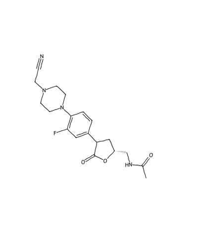 CC(=O)NC[C@H]1CC(c2ccc(N3CCN(CC#N)CC3)c(F)c2)C(=O)O1